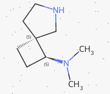 CN(C)[C@H]1CC[C@@]12CCNC2